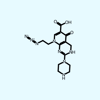 [N-]=[N+]=NCCn1cc(C(=O)O)c(=O)c2c1N=C(N1CCNCC1)NC2